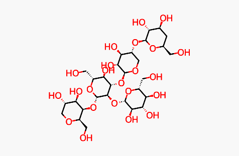 OC[C@@H]1C[C@H](O)[C@@H](O)[C@H](O[C@@H]2CO[C@@H](O[C@H]3[C@H](O)[C@@H](CO)O[C@@H](O[C@@H]4[C@H](O)[C@@H](O)CO[C@@H]4CO)[C@@H]3O[C@@H]3O[C@H](CO)[C@@H](O)[C@H](O)[C@H]3O)[C@H](O)[C@H]2O)O1